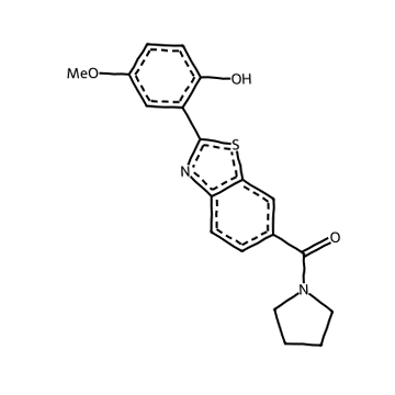 COc1ccc(O)c(-c2nc3ccc(C(=O)N4CCCC4)cc3s2)c1